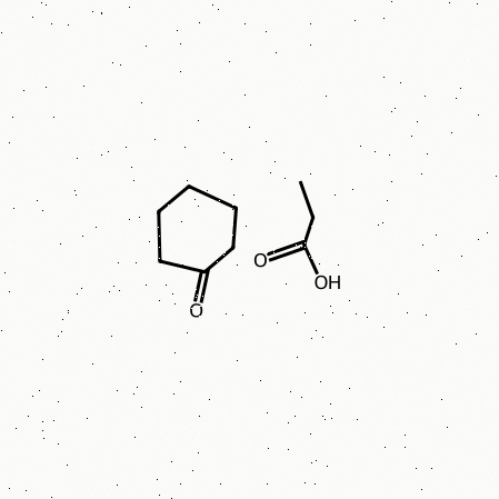 CCC(=O)O.O=C1CCCCC1